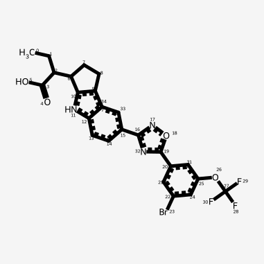 CCC(C(=O)O)C1CCc2c1[nH]c1ccc(-c3noc(-c4cc(Br)cc(OC(F)(F)F)c4)n3)cc21